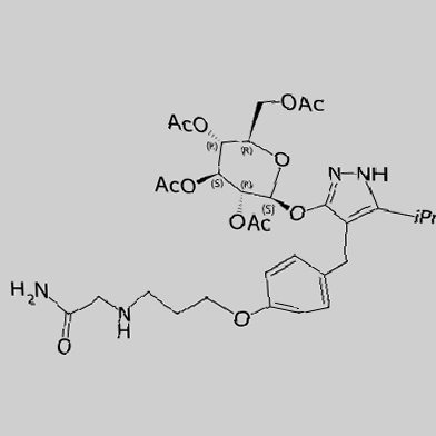 CC(=O)OC[C@H]1O[C@@H](Oc2n[nH]c(C(C)C)c2Cc2ccc(OCCCNCC(N)=O)cc2)[C@H](OC(C)=O)[C@@H](OC(C)=O)[C@@H]1OC(C)=O